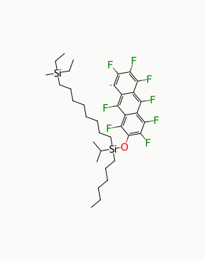 CCCCCC[Si](CCCCCCCC[Si](C)(CC)CC)(Oc1c(F)c(F)c2c(F)c3c(F)c(F)c(F)[c]c3c(F)c2c1F)C(C)C